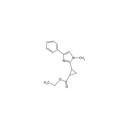 CCOC(=O)C1CC1c1nc(-c2ccccc2)cn1C